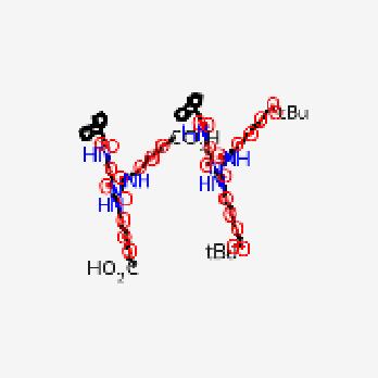 CC(C)(C)OC(=O)CCOCCOCCOCCNC(=O)CN(CC(=O)NCCOCCOCCOCCC(=O)OC(C)(C)C)C(=O)CCOCCNC(=O)OCC1c2ccccc2-c2ccccc21.O=C(O)CCOCCOCCOCCNC(=O)CN(CC(=O)NCCOCCOCCOCCC(=O)O)C(=O)CCOCCNC(=O)OCC1c2ccccc2-c2ccccc21